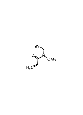 C=CC(=O)N(CC(C)C)OC